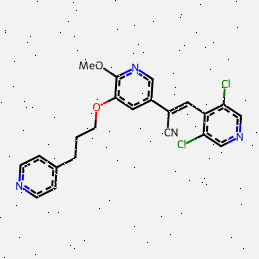 COc1ncc(C(C#N)=Cc2c(Cl)cncc2Cl)cc1OCCCc1ccncc1